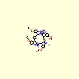 C=CCOc1ccc(N)c(-c2c3nc(c(-c4cc(OCC=C)ccc4N)c4ccc([nH]4)c(-c4cc(OCC=C)ccc4N)c4nc(c(-c5cc(OCC)ccc5N)c5ccc2[nH]5)C=C4)C=C3)c1